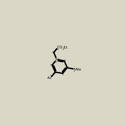 CCOC(=O)C[n+]1cc(SC)cc(C(C)=O)c1